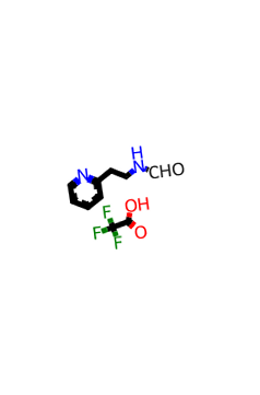 O=C(O)C(F)(F)F.O=CNCCc1ccccn1